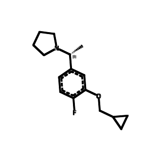 C[C@H](c1ccc(F)c(OCC2CC2)c1)N1CCCC1